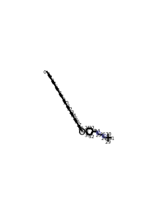 CC#CC#CC#CC#CC#CC#CC#CC#CC#COc1ccc(/C=C/C=C/C(C)(C)C)cc1